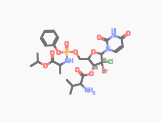 CC(C)OC(=O)C(C)NP(=O)(OCC1OC(n2ccc(=O)[nH]c2=O)[C@](Cl)(Br)[C@@H]1OC(=O)C(N)C(C)C)Oc1ccccc1